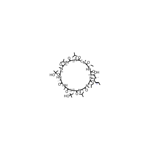 C/C=C/C[C@@H](C)[C@@H](O)[C@H]1C(=O)N[C@@H](CC)C(=O)N(C)CC(=O)N(C)[C@@H](CC(C)C)C(=O)N[C@@H](C(C)C)C(=O)N(C)[C@@H](CC(C)(C)O)C(=O)N[C@@H](C)C(=O)N[C@H](C)C(=O)N(C)[C@@H](CC(C)(C)O)C(=O)N(C)[C@@H](CC(C)C)C(=O)N(C)[C@@H](C(C)C)C(=O)N1C